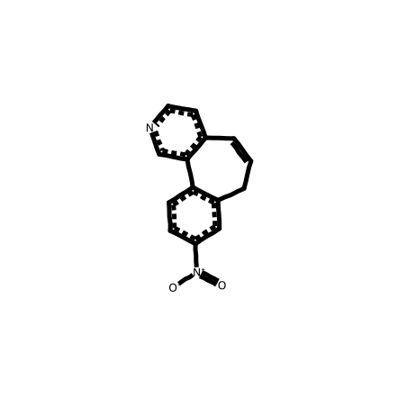 O=[N+]([O-])c1ccc2c(c1)CC=Cc1ccncc1-2